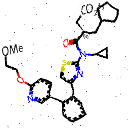 COCCOc1ccc(-c2ccccc2-c2csc(N(C(=O)[C@@H](CC(=O)O)CC3CCCC3)C3CC3)n2)cn1